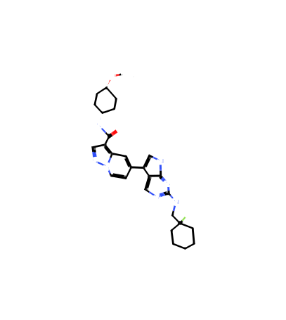 CO[C@H]1CC[C@H](NC(=O)c2cnn3ccc(-c4c[nH]c5nc(NCC6(F)CCCCC6)ncc45)cc23)CC1